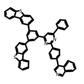 c1ccc(-c2cc(-c3cc(-c4ccc5sc6ccccc6c5c4)cc(-c4ccc5sc6ccccc6c5c4)c3)nc(-c3ccc(-c4cncc5ccccc45)cc3)n2)cc1